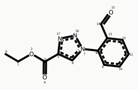 CCOC(=O)c1cn(-c2ccccc2C=O)nn1